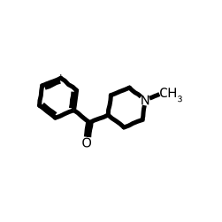 CN1CCC(C(=O)c2c[c]ccc2)CC1